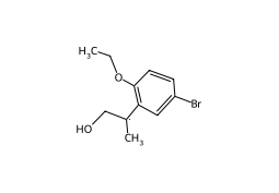 CCOc1ccc(Br)cc1[C](C)CO